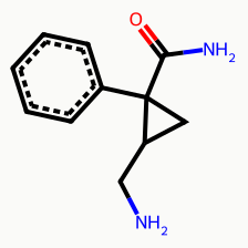 NCC1CC1(C(N)=O)c1ccccc1